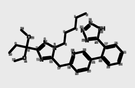 CCCCCn1nc(C(CC)(OC)OC)nc1Cc1ccc(-c2ccccc2-c2nnn[nH]2)cn1